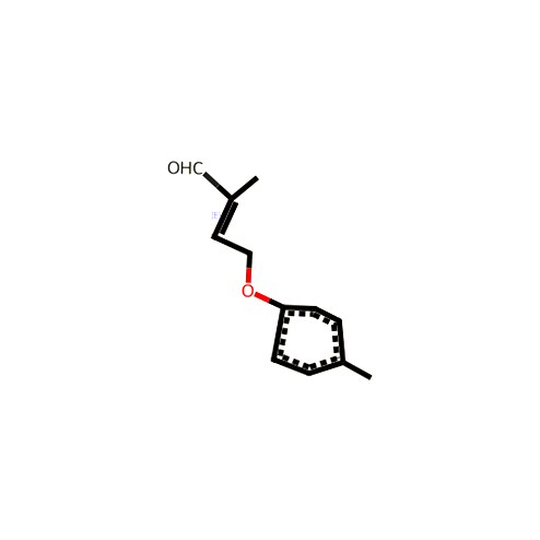 C/C(C=O)=C\COc1ccc(C)cc1